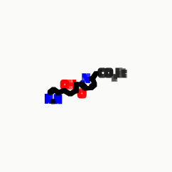 CCOC(=O)Cc1ccc2oc(CC(O)c3ccncn3)cc2n1